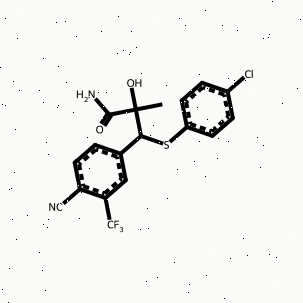 CC(O)(C(N)=O)C(Sc1ccc(Cl)cc1)c1ccc(C#N)c(C(F)(F)F)c1